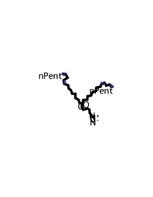 CCCCC/C=C\C/C=C\CCCCCCCCC1(CCCCCCCC/C=C\C/C=C\CCCCC)OCC(CCN=[N+]=[N-])O1